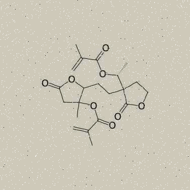 C=C(C)C(=O)O[C@H](C)C1(CCC2OC(=O)CC2(C)OC(=O)C(=C)C)CCOC1=O